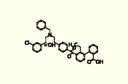 CCc1c(-c2ccccc2C(=O)O)cccc1S(=O)(=O)c1ccc(CCN(Cc2ccccc2)C[C@H](O)c2cccc(Cl)c2)cc1